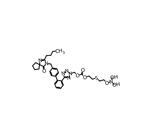 CCCCC1=NC2(CCCC2)C(=O)N1Cc1ccc(-c2ccccc2-c2nnn(COC(=O)OCCSCCON(O)O)n2)cc1